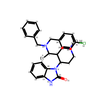 CCC(C1CN(C(=O)O)CCC1n1c(=O)[nH]c2ccccc21)N(Cc1ccccc1)Cc1ccc(Cl)cc1